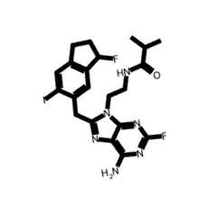 CC(C)C(=O)NCCn1c(Cc2cc3c(cc2I)CCC3F)nc2c(N)nc(F)nc21